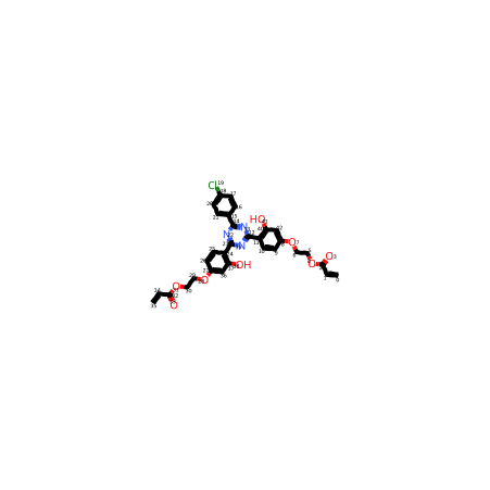 C=CC(=O)OCCOc1ccc(-c2nc(-c3ccc(Cl)cc3)nc(-c3ccc(OCCOC(=O)C=C)cc3O)n2)c(O)c1